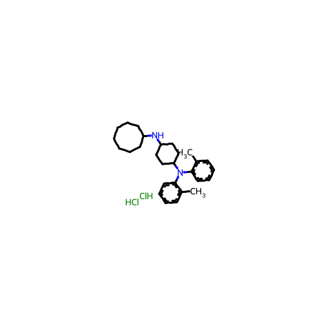 Cc1ccccc1N(c1ccccc1C)C1CCC(NC2CCCCCCC2)CC1.Cl.Cl